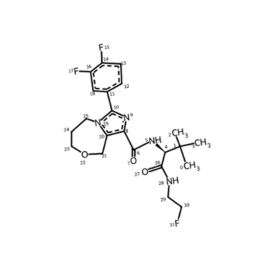 CC(C)(C)[C@H](NC(=O)c1nc(-c2ccc(F)c(F)c2)n2c1COCCC2)C(=O)NCCF